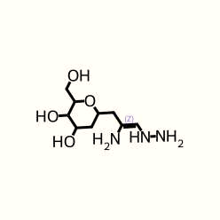 NN/C=C(\N)CC1CC(O)C(O)C(CO)O1